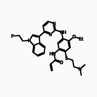 C=CC(=O)Nc1cc(Nc2nccc(-c3cn(CCF)c4ccccc34)n2)c(OCC)cc1SCCN(C)C